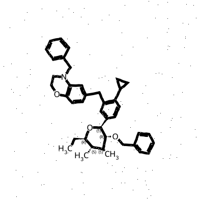 CC[C@H]1O[C@@H](c2ccc(C3CC3)c(Cc3ccc4c(c3)N(Cc3ccccc3)CCO4)c2)[C@H](OCc2ccccc2)[C@@H](C)[C@@H]1C